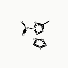 O=[N+]([O-])[n+]1nnc(I)[nH]1.c1nnn[nH]1